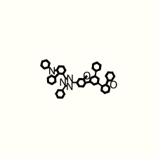 c1ccc(-c2nc(-c3ccc4c(c3)oc3c(-c5ccccc5)cc(-c5cccc6oc7ccccc7c56)cc34)nc(-c3cccc4c3c3ccccc3n4-c3ccccc3)n2)cc1